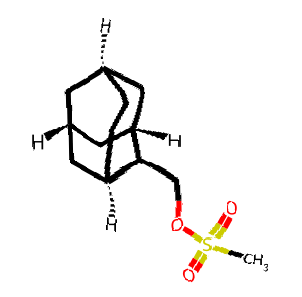 CS(=O)(=O)OCC1[C@H]2C[C@@H]3C[C@@H](C[C@H]1C3)C2